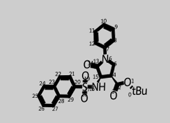 CC(C)(C)OC(=O)[C@@H]1CN(c2ccccc2)C(=O)[C@@H]1NS(=O)(=O)c1ccc2ccccc2c1